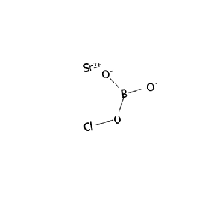 [O-]B([O-])OCl.[Sr+2]